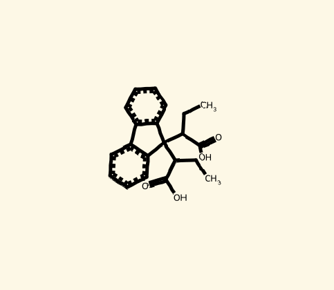 CCC(C(=O)O)C1(C(CC)C(=O)O)c2ccccc2-c2ccccc21